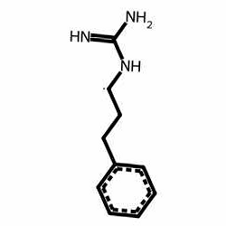 N=C(N)N[CH]CCc1ccccc1